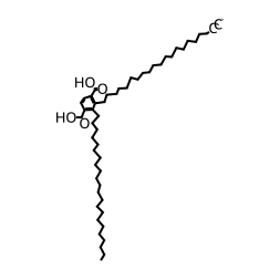 CCCCCCCCCCCCCCCCCCCCCCc1c(C(=O)O)ccc(C(=O)O)c1CCCCCCCCCCCCCCCCCCCCCC